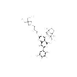 Cc1c(F)c(N)cc(-c2nc3c4c(nc(OC[C@@H](F)CN5CC(CO)(CO)C5)nc4c2F)N2C[C@H]4CC[C@H](N4)[C@H]2[C@H](C)O3)c1C(F)(F)F